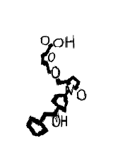 O=C(O)c1ccc(COCC2CCC(=O)N2c2ccc([C@H](O)Cc3ccccc3)cc2)o1